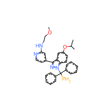 COCCNc1cc(-c2nn(C(P)(c3ccccc3)c3ccccc3)c3ccc(OC(C)C)cc23)ccn1